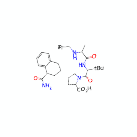 CC(C)CNC(C)C(=O)NC(C(=O)N1CCCC1C(=O)O)C(C)(C)C.NC(=O)C1CCCc2ccccc21